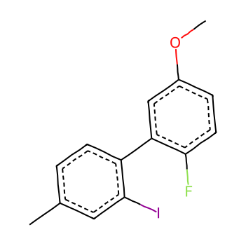 COc1ccc(F)c(-c2ccc(C)cc2I)c1